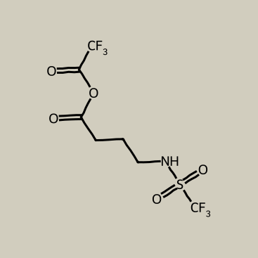 O=C(CCCNS(=O)(=O)C(F)(F)F)OC(=O)C(F)(F)F